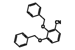 N#Cc1cccc(OCc2ccccc2)c1OCc1ccccc1